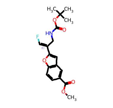 COC(=O)c1ccc2oc(/C(=C/F)CNC(=O)OC(C)(C)C)cc2c1